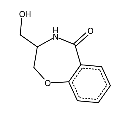 O=C1NC(CO)COc2ccccc21